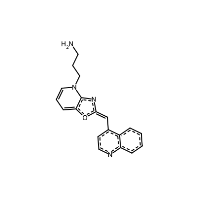 NCCCN1C=CC=c2o/c(=C\c3ccnc4ccccc34)nc21